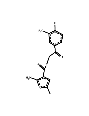 Cc1cc(C(=O)OCC(=O)c2ccc(F)c(C(F)(F)F)c2)c(N)s1